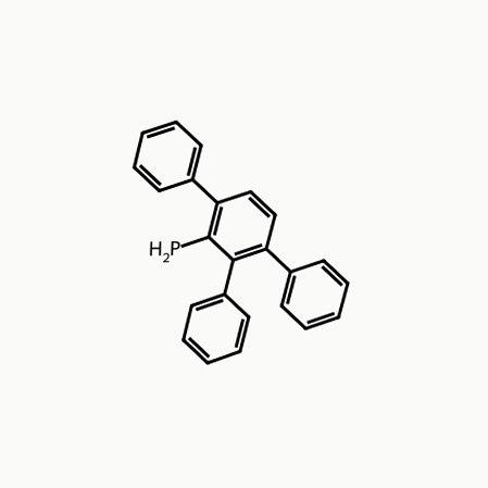 Pc1c(-c2ccccc2)ccc(-c2ccccc2)c1-c1ccccc1